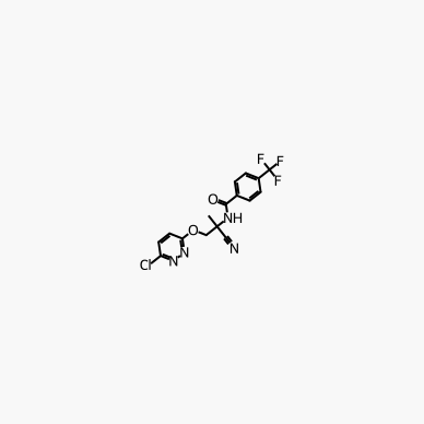 CC(C#N)(COc1ccc(Cl)nn1)NC(=O)c1ccc(C(F)(F)F)cc1